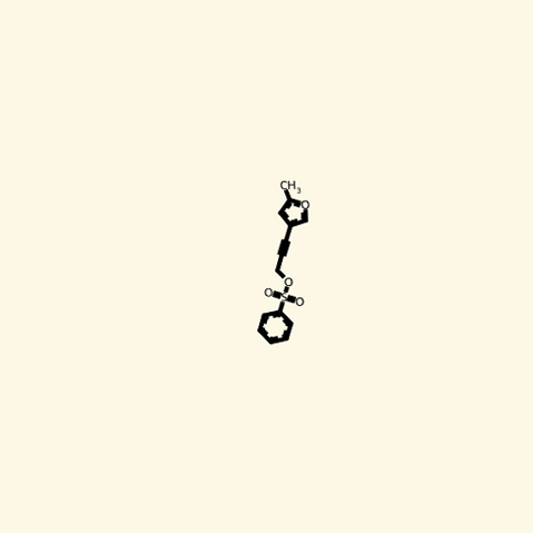 Cc1cc(C#CCOS(=O)(=O)c2ccccc2)co1